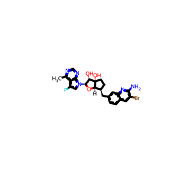 Cc1ncnc2c1c(F)cn2[C@@H]1O[C@@H]2[C@H](Cc3ccc4cc(Br)c(N)nc4c3)CC[C@]2(O)[C@H]1O